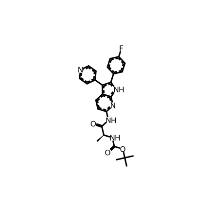 C[C@H](NC(=O)OC(C)(C)C)C(=O)Nc1ccc2c(-c3ccncc3)c(-c3ccc(F)cc3)[nH]c2n1